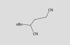 CCCCC(C#N)CCC#N